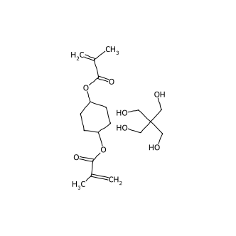 C=C(C)C(=O)OC1CCC(OC(=O)C(=C)C)CC1.OCC(CO)(CO)CO